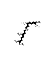 CC(C)=CCC/C(C)=C/CNC/C=C(\C)CCC=C(C)C